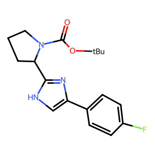 CC(C)(C)OC(=O)N1CCCC1c1nc(-c2ccc(F)cc2)c[nH]1